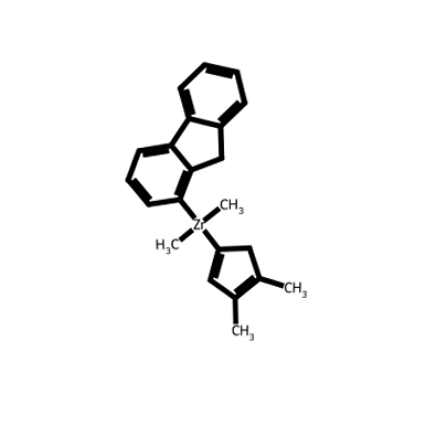 CC1=C(C)C[C]([Zr]([CH3])([CH3])[c]2cccc3c2Cc2ccccc2-3)=C1